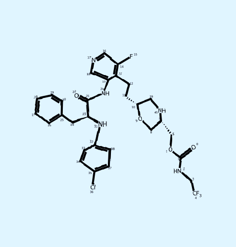 O=C(NCC(F)(F)F)OC[C@@H]1CO[C@H](CCc2c(F)cncc2NC(=O)[C@H](Cc2ccccc2)Nc2ccc(Cl)cc2)CN1